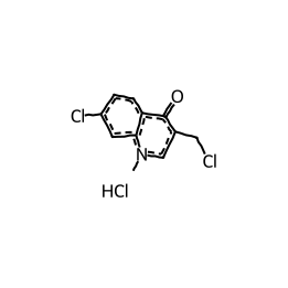 Cl.Cn1cc(CCl)c(=O)c2ccc(Cl)cc21